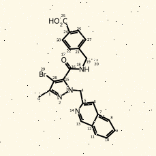 Cc1nn(Cc2cc3ccccc3cn2)c(C(=O)N[C@@H](C)c2ccc(C(=O)O)cc2)c1Br